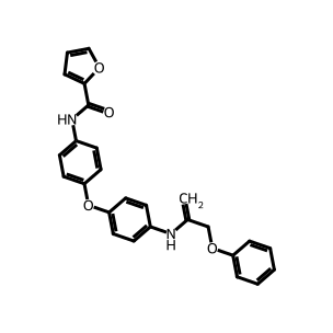 C=C(COc1ccccc1)Nc1ccc(Oc2ccc(NC(=O)c3ccco3)cc2)cc1